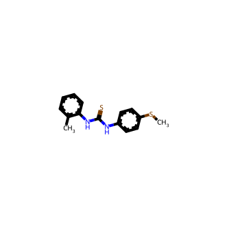 CSc1ccc(NC(=S)Nc2ccccc2C)cc1